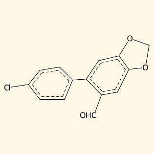 O=Cc1cc2c(cc1-c1ccc(Cl)cc1)OCO2